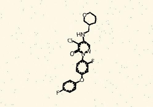 O=c1c(Cl)c(NC[C@@H]2CCCOC2)cnn1-c1ccc(Oc2ccc(F)cc2)cc1F